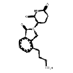 O=C(O)CCCc1cccc2c1CN(C1CCC(=O)NC1=O)C2=O